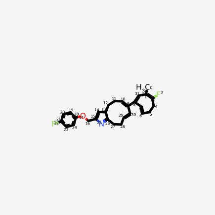 CC1=C(\F)CC/C=C/C(C2=C/CCC3C=C(COc4ccc(F)cc4)N=C3CC\C=C\2)=C\1